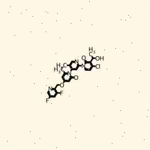 Cc1cnc(-n2ccc(Cl)c(C(C)O)c2=O)cc1-n1c(C)cc(OCc2ncc(F)cc2F)cc1=O